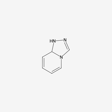 C1=CC2NN=CN2C=C1